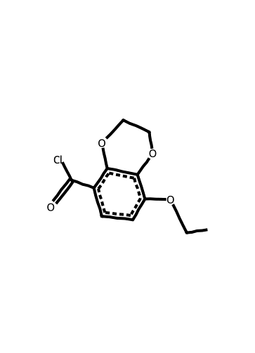 CCOc1ccc(C(=O)Cl)c2c1OCCO2